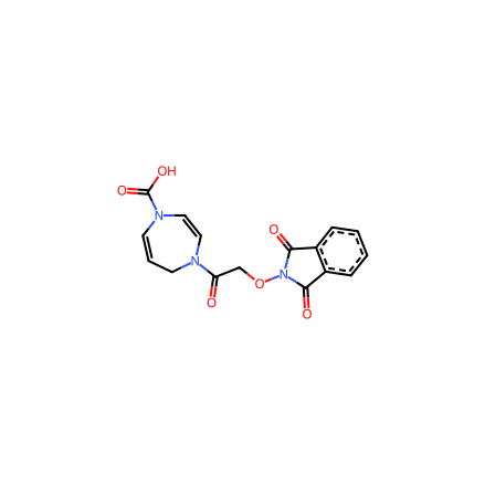 O=C(O)N1C=CCN(C(=O)CON2C(=O)c3ccccc3C2=O)C=C1